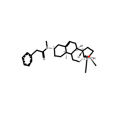 C[C@H]1[C@H]2CC[C@H]3[C@@H]4CC=C5C[C@@H](N(C)C(=O)Cc6ccccc6)CC[C@]5(C)C4CC[C@]23CN1C